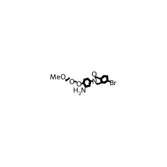 COCCOCOc1ccc(N2Cc3cc(Br)ccc3C2=O)cc1N